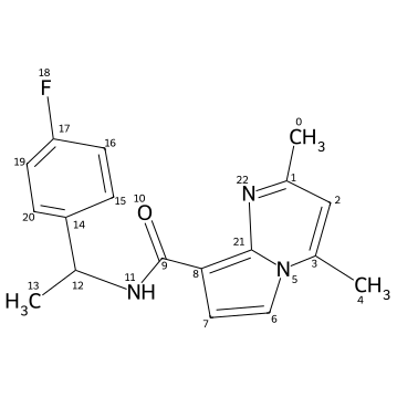 Cc1cc(C)n2ccc(C(=O)NC(C)c3ccc(F)cc3)c2n1